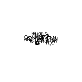 CO[C@]1(NC(=O)C(NC(=O)NN2CC(=O)NC2=O)c2cccs2)C(=O)N2C(C(=O)O)=C(CSc3nnnn3C)CSC21